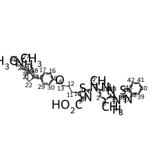 Cc1cc(N(C)c2nc(C(=O)O)c(CCCOc3ccc(C45CC(C4)[C@@H](CN(C)C)C5)cc3)s2)nnc1Nc1nc2ccccc2s1